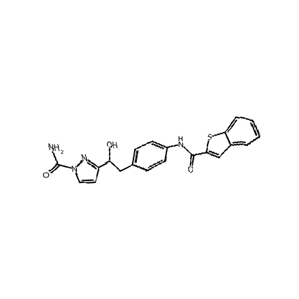 NC(=O)n1ccc(C(O)Cc2ccc(NC(=O)c3cc4ccccc4s3)cc2)n1